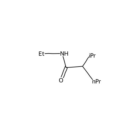 CCCC(C(=O)NCC)C(C)C